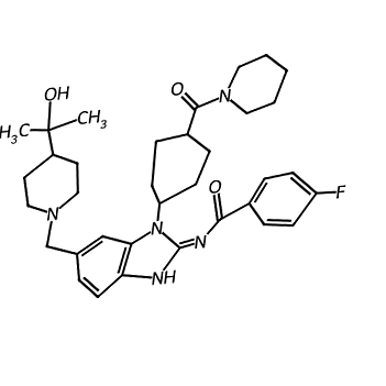 CC(C)(O)C1CCN(Cc2ccc3[nH]/c(=N/C(=O)c4ccc(F)cc4)n(C4CCC(C(=O)N5CCCCC5)CC4)c3c2)CC1